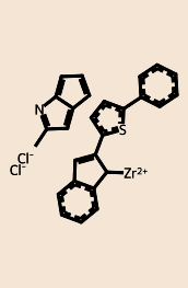 CC1=NC2=CC=CC2=C1.[Cl-].[Cl-].[Zr+2][CH]1C(c2ccc(-c3ccccc3)s2)=Cc2ccccc21